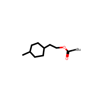 CCC(C)C(=O)OCCC1CCC(C)CC1